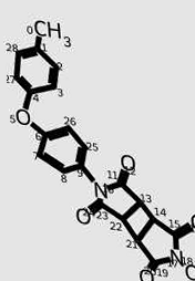 Cc1ccc(Oc2ccc(N3C(=O)C4C5C(=O)N(C)C(=O)C5C4C3=O)cc2)cc1